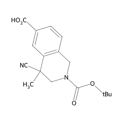 CC(C)(C)OC(=O)N1Cc2ccc(C(=O)O)cc2C(C)(C#N)C1